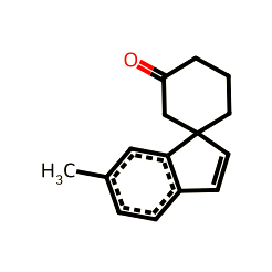 Cc1ccc2c(c1)C1(C=C2)CCCC(=O)C1